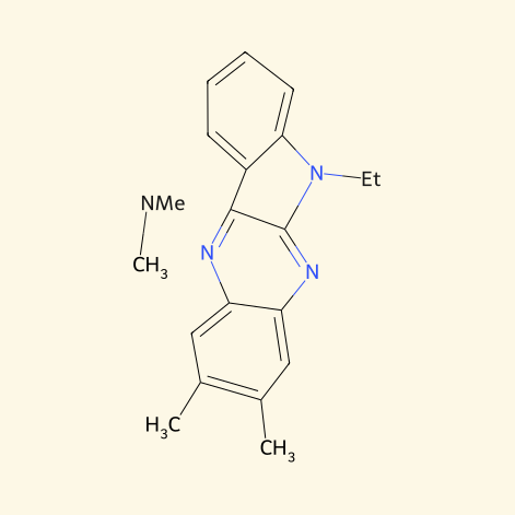 CCn1c2ccccc2c2nc3cc(C)c(C)cc3nc21.CNC